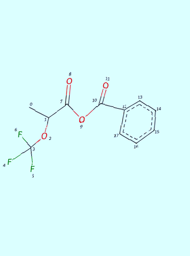 CC(OC(F)(F)F)C(=O)OC(=O)c1ccccc1